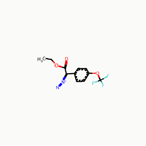 CCOC(=O)C(=[N+]=[N-])c1ccc(OC(F)(F)F)cc1